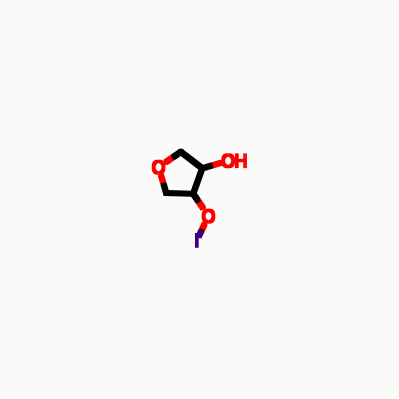 OC1COCC1OI